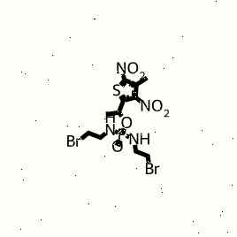 Cc1c([N+](=O)[O-])sc(C(C)OP(=O)(NCCBr)NCCBr)c1[N+](=O)[O-]